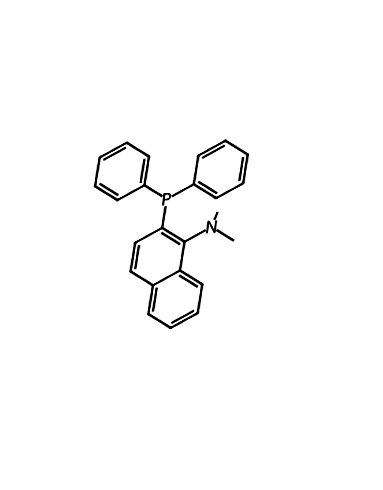 CN(C)c1c(P(c2ccccc2)c2ccccc2)ccc2ccccc12